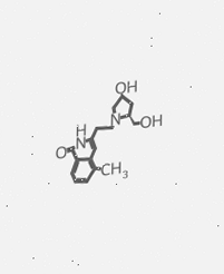 Cc1cccc2c(=O)[nH]c(CCN3C[C@H](O)C[C@H]3CO)cc12